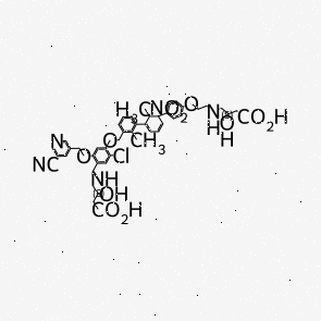 Cc1c(COc2cc(OCc3cncc(C#N)c3)c(CNC[C@@H](O)CC(=O)O)cc2Cl)cccc1C1=CC=CC(c2ccc(OCCNC[C@@H](O)CC(=O)O)cc2)([N+](=O)[O-])C1C